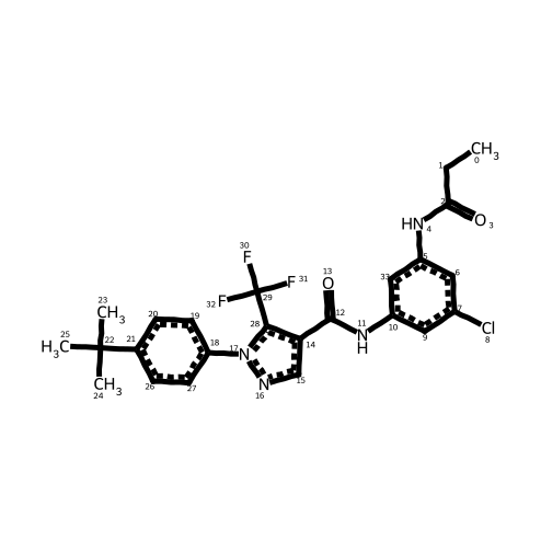 CCC(=O)Nc1cc(Cl)cc(NC(=O)c2cnn(-c3ccc(C(C)(C)C)cc3)c2C(F)(F)F)c1